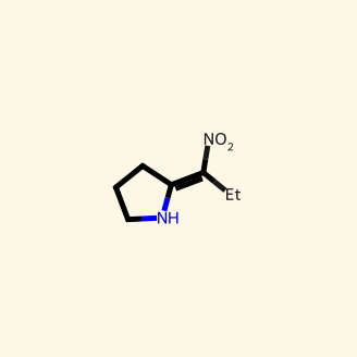 CCC(=C1CCCN1)[N+](=O)[O-]